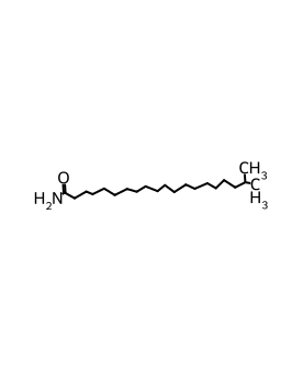 CC(C)CCCCCCCCCCCCCCCCCC(N)=O